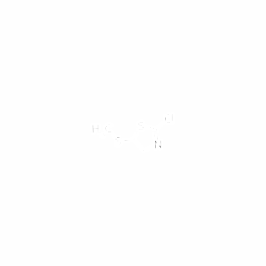 CSC1CN=C(Cl)S1